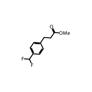 COC(=O)CCc1ccc(C(F)F)cc1